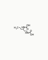 CCCC(CCNC(=O)O)NC(=O)O